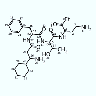 CCC(=O)[C@H](CCN)NC(=O)[C@@H](NC(=O)[C@H](Cc1ccccc1)NC(=O)CC(N)C1CCCCC1)C(C)O